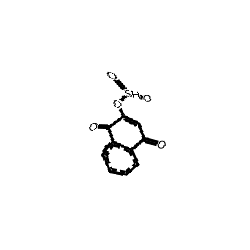 O=C1C=C(O[SH](=O)=O)C(=O)c2ccccc21